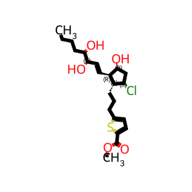 CCCCC(O)[C@H](O)C=C[C@@H]1[C@@H](CCCc2ccc(C(=O)OC)s2)[C@H](Cl)C[C@H]1O